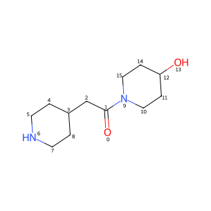 O=C(CC1CCNCC1)N1CCC(O)CC1